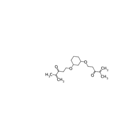 C=C(C)C(=O)CCOC1CCCC(OCCC(=O)C(=C)C)C1